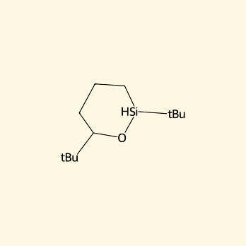 CC(C)(C)C1CCC[SiH](C(C)(C)C)O1